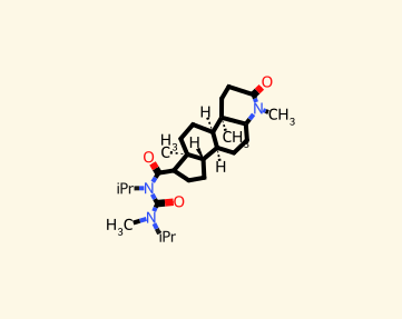 CC(C)N(C)C(=O)N(C(=O)C1CC[C@H]2[C@@H]3CCC4N(C)C(=O)CC[C@]4(C)[C@@H]3CC[C@]12C)C(C)C